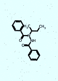 CCC(C)N(NC(=O)c1ccccc1)C(=O)c1ccccc1